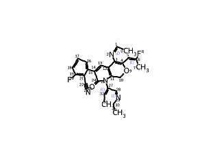 C/C=N\C1=C(/C=C(\C)F)OCc2c1cc(-c1cccc(F)c1C#N)c(=O)n2C(/C=N\CC)=C/C